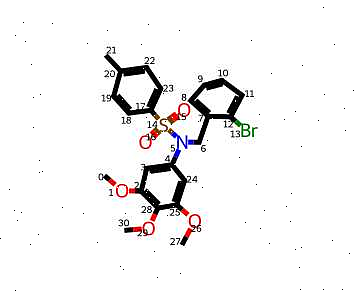 COc1cc(N(Cc2ccccc2Br)S(=O)(=O)c2ccc(C)cc2)cc(OC)c1OC